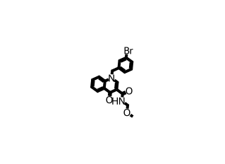 COCNC(=O)c1cn(Cc2cccc(Br)c2)c2ccccc2c1=O